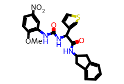 COc1ccc([N+](=O)[O-])cc1NC(=O)NC(C(=O)NC1Cc2ccccc2C1)c1ccsc1